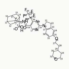 O=C(NC1(C(=O)O)C2CC3CC(C2)CC1C3)c1cnc(N2CCc3cc(OCCC4CCOCC4)ccc32)nc1C(F)(F)C(F)(F)F